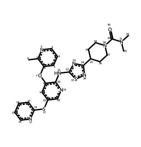 Cc1ncccc1Oc1cc(Sc2ccccn2)cnc1Nc1nc(C2CCN(C(=O)N(C)C)CC2)ns1